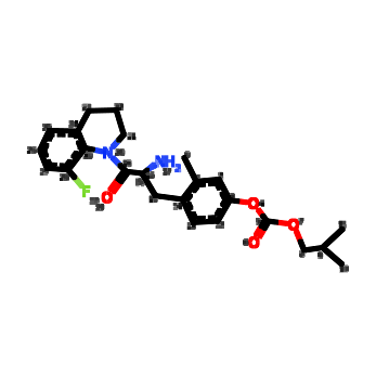 Cc1cc(OC(=O)OCC(C)C)ccc1C[C@H](N)C(=O)N1CCCc2cccc(F)c21